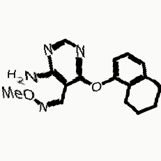 CO/N=C\c1c(N)ncnc1Oc1cccc2c1CCCC2